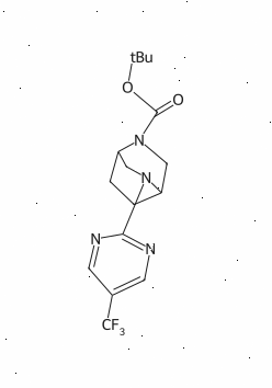 CC(C)(C)OC(=O)N1CC2CCC1CN2c1ncc(C(F)(F)F)cn1